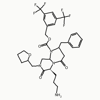 NCCC[C@H]1C(=O)N(CC2CCCO2)CC2N(C(=O)OCc3cc(C(F)(F)F)cc(C(F)(F)F)c3)C(Cc3ccccc3)CC(=O)N21